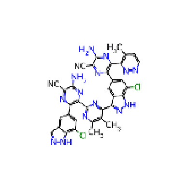 Cc1ccnnc1-c1nc(N)c(C#N)nc1-c1cc(Cl)c2[nH]nc(-c3nc(-c4nc(N)c(C#N)nc4-c4cc(Cl)c5[nH]ncc5c4)nc(C)c3C)c2c1